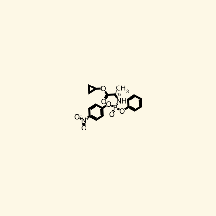 C[C@H](NP(=O)(Oc1ccccc1)Oc1ccc([N+](=O)[O-])cc1)C(=O)OC1CC1